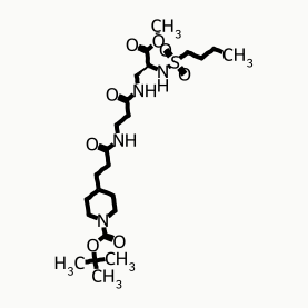 CCCCS(=O)(=O)N[C@@H](CNC(=O)CCNC(=O)CCC1CCN(C(=O)OC(C)(C)C)CC1)C(=O)OC